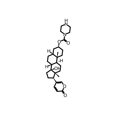 C[C@]12CC[C@H](OC(=O)N3CCNCC3)C[C@H]1CC[C@@H]1[C@@H]2CC[C@]2(C)[C@@H](c3ccc(=O)oc3)CC[C@]12O